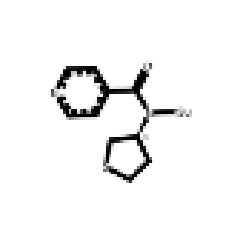 CC(C)(C)N(C(=O)c1ccncc1)[C@H]1CCSC1